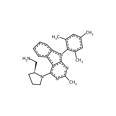 Cc1cc(C)c(-n2c3ccccc3c3c(N4CCC[C@H]4CN)nc(C)nc32)c(C)c1